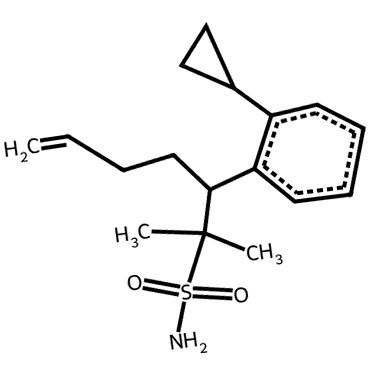 C=CCCC(c1ccccc1C1CC1)C(C)(C)S(N)(=O)=O